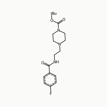 CC(C)(C)OC(=O)N1CCN(CCNC(=O)c2ccc(F)cc2)CC1